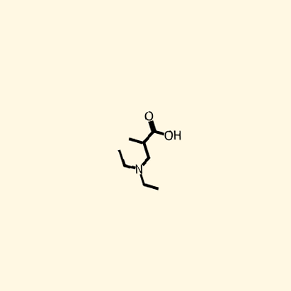 CCN(CC)CC(C)C(=O)O